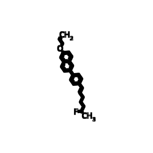 C=CCOc1ccc2cc(-c3ccc(C=CCCCC(C)F)cc3)ccc2c1